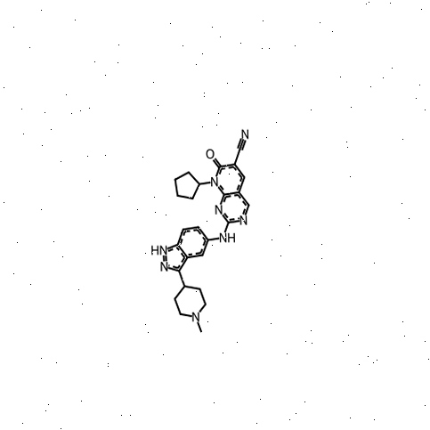 CN1CCC(c2n[nH]c3ccc(Nc4ncc5cc(C#N)c(=O)n(C6CCCC6)c5n4)cc23)CC1